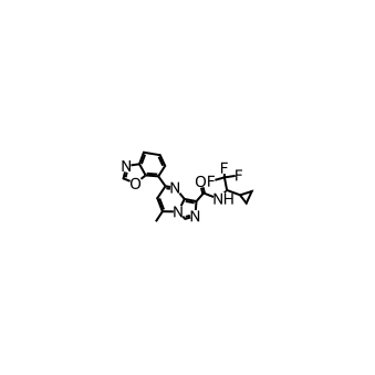 Cc1cc(-c2cccc3ncoc23)nc2c(C(=O)N[C@H](C3CC3)C(F)(F)F)ncn12